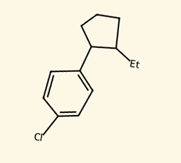 [CH2]CC1CCCC1c1ccc(Cl)cc1